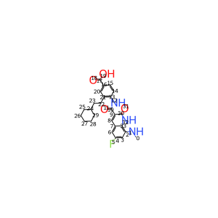 CNc1cc(F)cc2cc(C(=O)Nc3ccc(C(=O)O)cc3CCC3CCCCC3)c(=O)[nH]c12